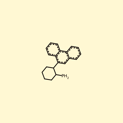 PC1CCCCC1c1cc2ccccc2c2ccccc12